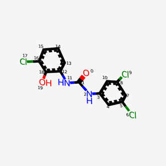 O=C(Nc1cc(Cl)cc(Cl)c1)Nc1cccc(Cl)c1O